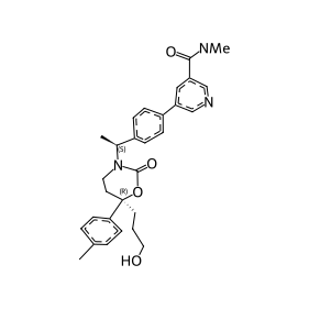 CNC(=O)c1cncc(-c2ccc([C@H](C)N3CC[C@](CCCO)(c4ccc(C)cc4)OC3=O)cc2)c1